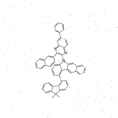 CC1(C)c2ccccc2-c2c(-c3cccc4c3c3cc5ccccc5cc3n4-c3nc4ccc(-c5ccccc5)cc4nc3-c3ccc4ccccc4c3)cccc21